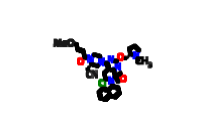 COC/C=C/C(=O)N1CCN(c2nc(OC[C@@H]3CCCN3C)nc3c2CCN(c2cccc4cccc(Cl)c24)C32COC2)C[C@@H]1CC#N